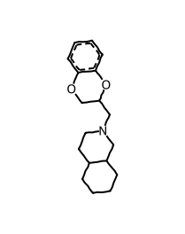 c1ccc2c(c1)OCC(CN1CCC3CCCCC3C1)O2